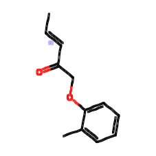 C/C=C/C(=O)COc1ccccc1C